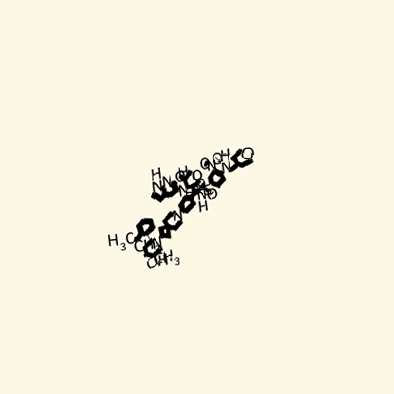 CC(C)c1ccccc1[C@H]1CC[C@@](C)(O)CN1C1CC2(CCN(c3ccc(C(=O)NS(=O)(=O)c4ccc(NCC5CCOCC5)c([N+](=O)[O-])c4)c(N4c5cc6cc[nH]c6nc5O[C@H]5COCC[C@@H]54)c3)CC2)C1